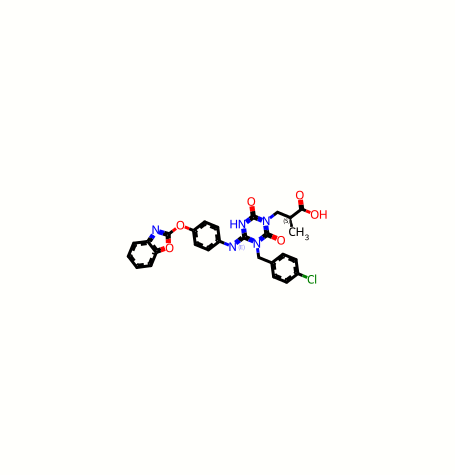 C[C@@H](Cn1c(=O)[nH]/c(=N\c2ccc(Oc3nc4ccccc4o3)cc2)n(Cc2ccc(Cl)cc2)c1=O)C(=O)O